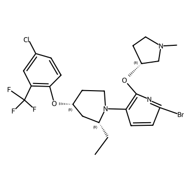 CC[C@@H]1C[C@H](Oc2ccc(Cl)cc2C(F)(F)F)CCN1c1ccc(Br)nc1O[C@@H]1CCN(C)C1